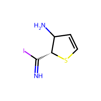 N=C(I)[C@H]1SC=CC1N